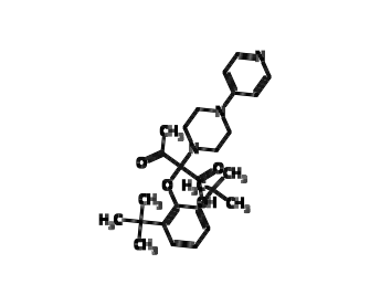 CC(=O)C(Oc1c(C(C)(C)C)cccc1C(C)(C)C)(C(=O)O)N1CCN(c2ccncc2)CC1